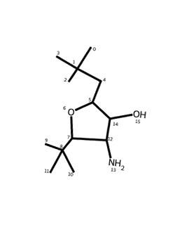 CC(C)(C)CC1OC(C(C)(C)C)C(N)C1O